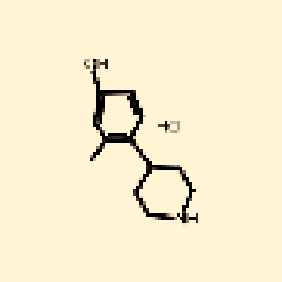 Cc1cc(O)ccc1C1CCNCC1.Cl